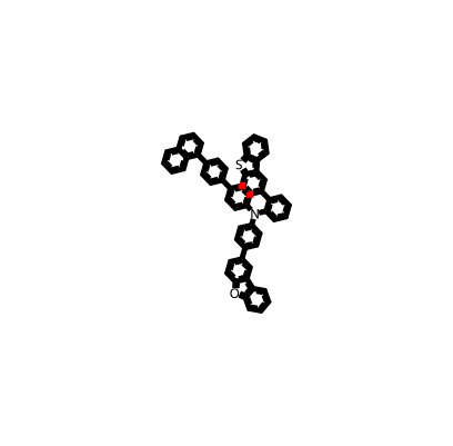 c1ccc(N(c2ccc(-c3ccc(-c4cccc5ccccc45)cc3)cc2)c2ccc(-c3ccc4oc5ccccc5c4c3)cc2)c(-c2ccc3sc4ccccc4c3c2)c1